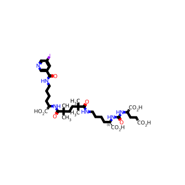 CC(C)(CCC(C)(C)C(=O)NC(CCCCNC(=O)c1cncc(I)c1)C(=O)O)C(=O)NCCCC[C@H](NC(=O)NC(CCC(=O)O)C(=O)O)C(=O)O